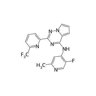 Cc1cc(Nc2nc(-c3cccc(C(F)(F)F)n3)nn3cccc23)c(F)cn1